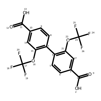 O=C(O)c1ccc(-c2ccc(C(=O)O)cc2OC(F)(F)F)c(OC(F)(F)F)c1